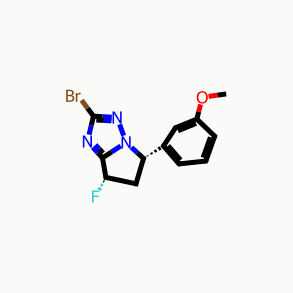 COc1cccc([C@@H]2C[C@H](F)c3nc(Br)nn32)c1